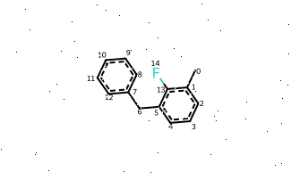 Cc1cccc(Cc2ccccc2)c1F